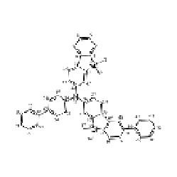 C[Si]1(C)c2ccccc2-c2ccc(N(c3ccc(-c4ccccc4)cc3)c3ccc4c(c3)[Si](C)(C)c3ccc(-c5ccccc5)cc3-4)cc21